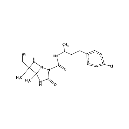 CC(C)CC1(C)NN2N(C(=O)NC(C)CCc3ccc(Cl)cc3)C(=O)NC21C